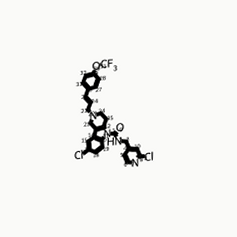 O=C(NCc1ccnc(Cl)c1)n1c2c(c3cc(Cl)ccc31)CN(CC=Cc1ccc(OC(F)(F)F)cc1)CC2